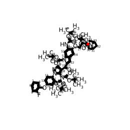 Cc1cc(Oc2ccccc2F)ccc1-n1ncc(C(=O)c2cc3cc(OCCN4CC5CC(C4)N5C(=O)OC(C)(C)C)c(NC(=O)OC(C)(C)C)cc3n2C(=O)OC(C)(C)C)c1N(C(=O)OC(C)(C)C)C(=O)OC(C)(C)C